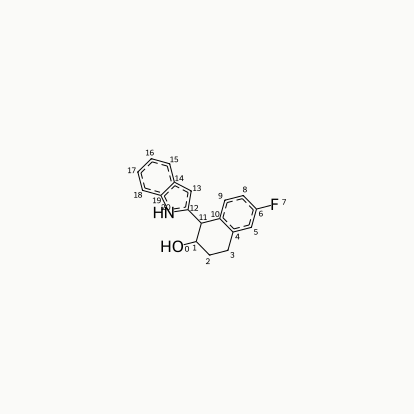 OC1CCc2cc(F)ccc2C1c1cc2ccccc2[nH]1